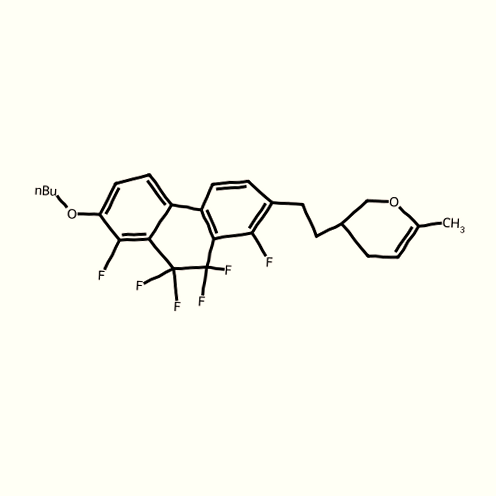 CCCCOc1ccc2c(c1F)C(F)(F)C(F)(F)c1c-2ccc(CCC2CC=C(C)OC2)c1F